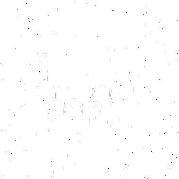 CCCCOC(=O)c1cc(-n2c(OC)nc(C(F)(F)C(F)(F)F)cc2=O)c(F)cc1Cl